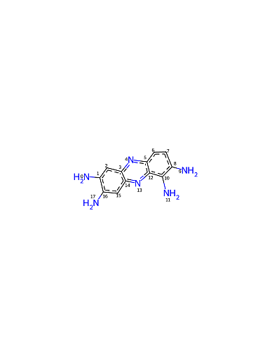 Nc1cc2nc3ccc(N)c(N)c3nc2cc1N